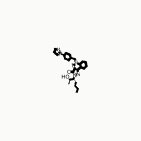 CCCC[C@H]([C@@H](C)O)n1nc2c3ccccc3n(Cc3ccc(-n4cccn4)cc3)nc-2c1=O